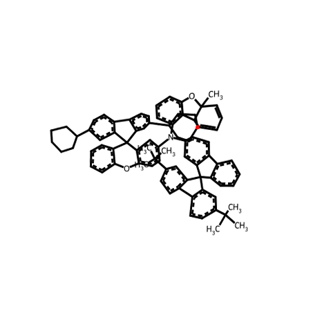 CC(C)(C)c1ccc2c(c1)C1(c3ccccc3-c3ccc(N(c4ccc5c(c4)C4(c6ccccc6O5)c5cc(C6CCCCC6)ccc5-c5ccc(C6CCCCC6)cc54)c4cccc5c4C4C=CC=CC4(C)O5)cc31)c1cc(C(C)(C)C)ccc1-2